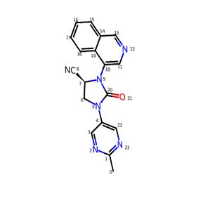 Cc1ncc(N2C[C@@H](C#N)N(c3cncc4ccccc34)C2=O)cn1